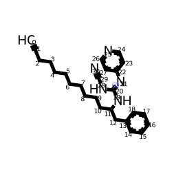 C#CCCCCCCCCCC(Cc1ccccc1)N/C(=N/c1ccncc1)NC#N